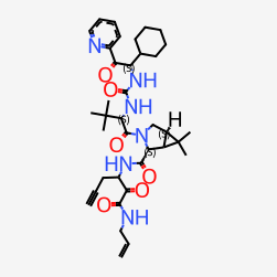 C#CCC(NC(=O)[C@@H]1C2[C@H](CN1C(=O)[C@@H](NC(=O)N[C@H](C(=O)c1ccccn1)C1CCCCC1)C(C)(C)C)C2(C)C)C(=O)C(=O)NCC=C